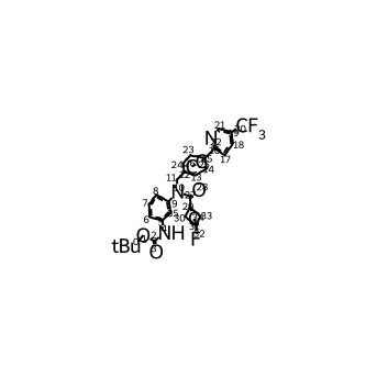 CC(C)(C)OC(=O)Nc1cccc(N(CC23CCC(c4ccc(C(F)(F)F)cn4)(CC2)CC3)C(=O)C23CC(F)(C2)C3)c1